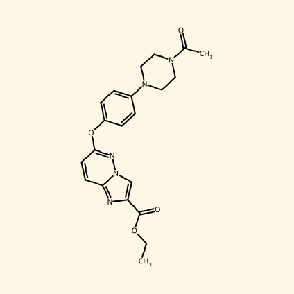 CCOC(=O)c1cn2nc(Oc3ccc(N4CCN(C(C)=O)CC4)cc3)ccc2n1